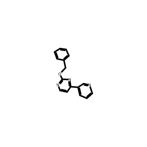 c1ccc(COc2nccc(-c3cccnc3)n2)cc1